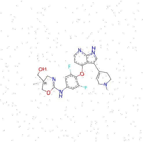 CN1CC=C(c2c[nH]c3nccc(Oc4c(F)cc(NC5=NC[C@](C)(CO)CO5)cc4F)c23)CC1